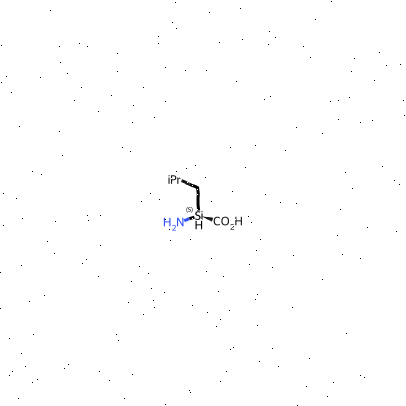 CC(C)C[Si@H](N)C(=O)O